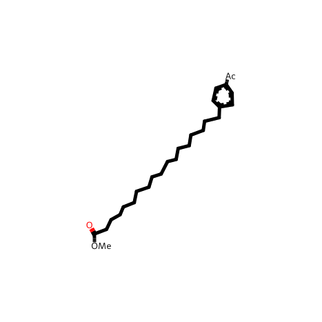 COC(=O)CCCCCCCCCCCCCCCCCc1ccc(C(C)=O)cc1